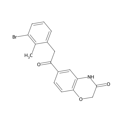 Cc1c(Br)cccc1CC(=O)c1ccc2c(c1)NC(=O)CO2